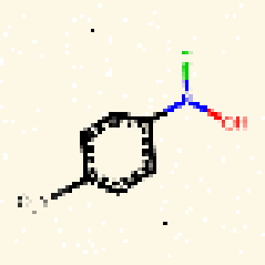 O=[N+]([O-])c1ccc(N(O)Cl)cc1